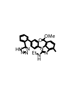 CCNc1nc2c(C)ccc(C(=O)OC)c2n1-c1ccc(-c2ccccc2-c2nnn[nH]2)cc1